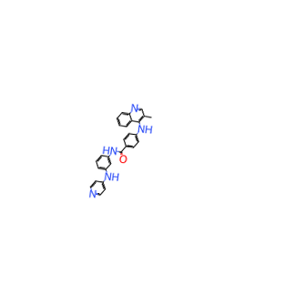 Cc1cnc2ccccc2c1Nc1ccc(C(=O)Nc2cccc(Nc3ccncc3)c2)cc1